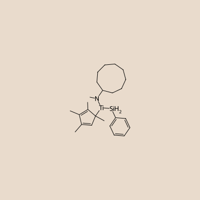 CC1=C[C](C)([Ti]([SiH2]c2ccccc2)[N](C)C2CCCCCCCC2)C(C)=C1C